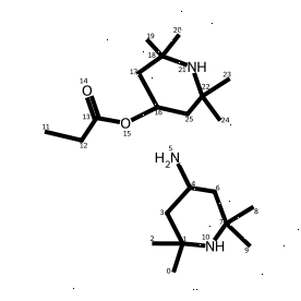 CC1(C)CC(N)CC(C)(C)N1.CCC(=O)OC1CC(C)(C)NC(C)(C)C1